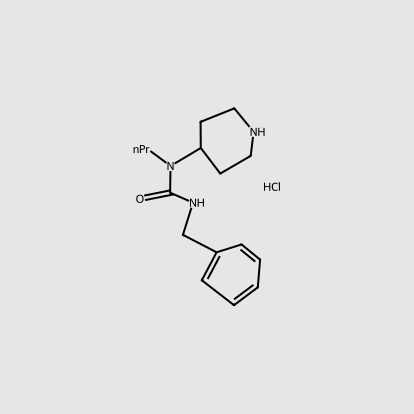 CCCN(C(=O)NCc1ccccc1)C1CCNCC1.Cl